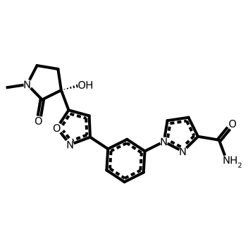 CN1CC[C@@](O)(c2cc(-c3cccc(-n4ccc(C(N)=O)n4)c3)no2)C1=O